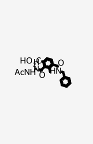 CC(=O)NNC(=O)c1c(C(=O)O)ccc(C(=O)NCc2ccccc2)c1C